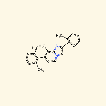 Cc1ccccc1-c1[c]n2ccc(-c3c(C)cccc3C)c(C)c2n1